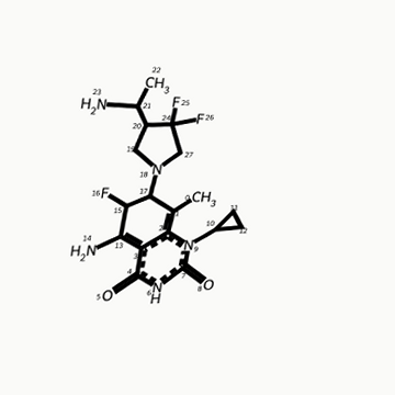 CC1=c2c(c(=O)[nH]c(=O)n2C2CC2)=C(N)C(F)C1N1CC(C(C)N)C(F)(F)C1